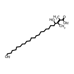 CC(C(=O)O)=C(C)C(O)CCCCCCCCCCCCCCCCCCCCO